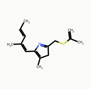 C=C(C)SCC1=NC(/C=C(C)\C=C\C)=C(C)C1